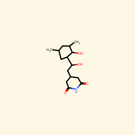 CC1CC(C)C(O)C(C(O)CC2CC(=O)NC(=O)C2)C1